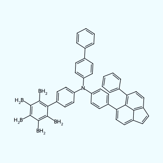 Bc1c(B)c(B)c(-c2ccc(N(c3ccc(-c4ccccc4)cc3)c3ccc(-c4ccc5c6c(ccc(-c7ccccc7)c46)C=C5)cc3)cc2)c(B)c1B